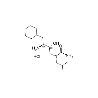 CC(C)CN(C[C@@H](O)[C@@H](N)CC1CCCCC1)C(N)=O.Cl